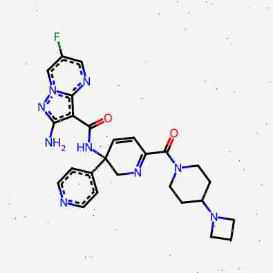 Nc1nn2cc(F)cnc2c1C(=O)NC1(c2ccncc2)C=CC(C(=O)N2CCC(N3CCC3)CC2)=NC1